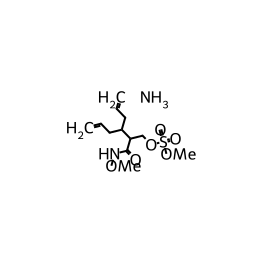 C=CCC(CC=C)C(COS(=O)(=O)OC)C(=O)NOC.N